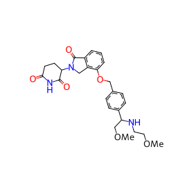 COCCNC(COC)c1ccc(COc2cccc3c2CN(C2CCC(=O)NC2=O)C3=O)cc1